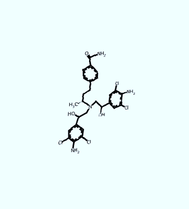 C[C@H](CCc1ccc(C(N)=O)cc1)N(CC(O)c1cc(Cl)c(N)c(Cl)c1)CC(O)c1cc(Cl)c(N)c(Cl)c1